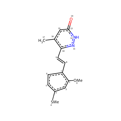 COc1cc(SC)ccc1C=Cc1n[nH]c(=O)cc1C